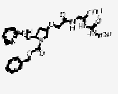 CCCCNC(=O)NC(CNC(=O)COC1CC(CNc2ccccn2)N(C(=O)OCc2ccccc2)C1)C(=O)O